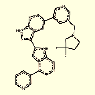 FC1(F)CCN(Cc2cncc(-c3cnc4[nH]nc(-c5cc6c(-c7cccnc7)cncc6[nH]5)c4c3)c2)C1